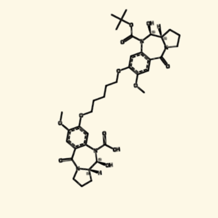 COc1cc2c(cc1OCCCCCOc1cc3c(cc1OC)C(=O)N1CCC[C@H]1[C@H](O)N3C(=O)OC(C)(C)C)N(C(=O)O)[C@@H](O)[C@@H]1CCCN1C2=O